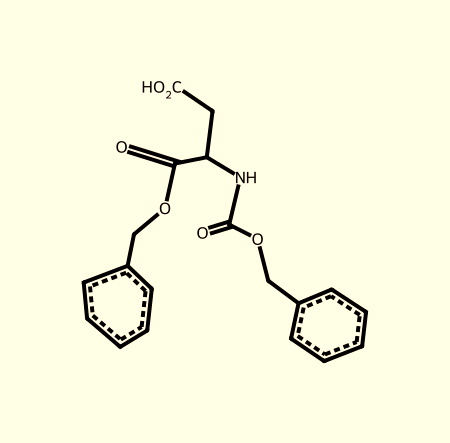 O=C(O)CC(NC(=O)OCc1ccccc1)C(=O)OCc1ccccc1